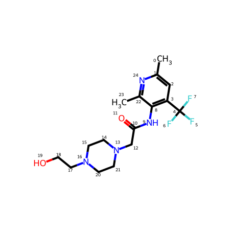 Cc1cc(C(F)(F)F)c(NC(=O)CN2CCN(CCO)CC2)c(C)n1